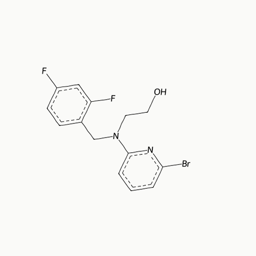 OCCN(Cc1ccc(F)cc1F)c1cccc(Br)n1